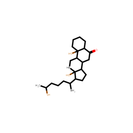 BC(CCCC(C)S)C1CCC2C3CC(=O)C4CCCCC4(S)C3CBC12S